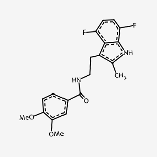 COc1ccc(C(=O)NCCc2c(C)[nH]c3c(F)ccc(F)c23)cc1OC